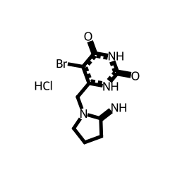 Cl.N=C1CCCN1Cc1[nH]c(=O)[nH]c(=O)c1Br